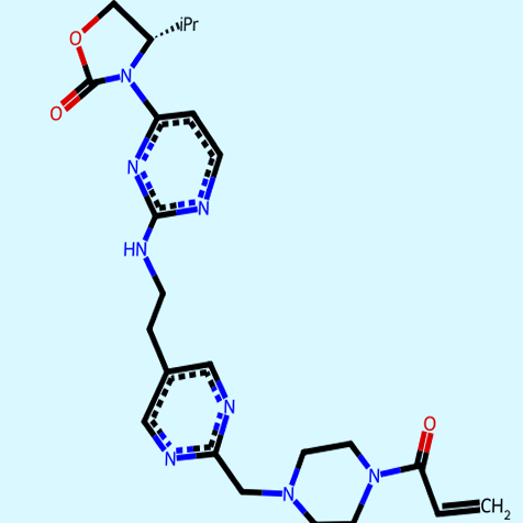 C=CC(=O)N1CCN(Cc2ncc(CCNc3nccc(N4C(=O)OC[C@@H]4C(C)C)n3)cn2)CC1